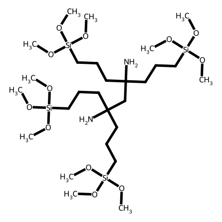 CO[Si](CCCC(N)(CCC[Si](OC)(OC)OC)CC(N)(CCC[Si](OC)(OC)OC)CCC[Si](OC)(OC)OC)(OC)OC